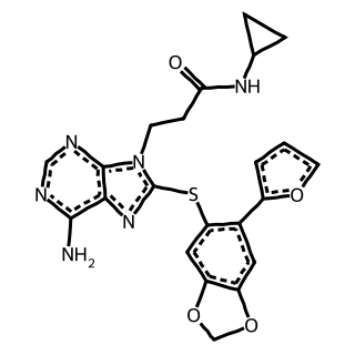 Nc1ncnc2c1nc(Sc1cc3c(cc1-c1ccco1)OCO3)n2CCC(=O)NC1CC1